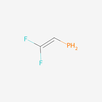 FC(F)=CP